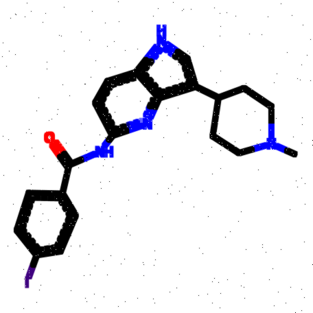 CN1CCC(c2c[nH]c3ccc(NC(=O)c4ccc(I)cc4)nc23)CC1